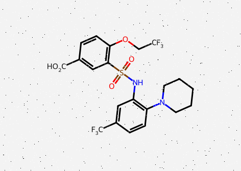 O=C(O)c1ccc(OCC(F)(F)F)c(S(=O)(=O)Nc2cc(C(F)(F)F)ccc2N2CCCCC2)c1